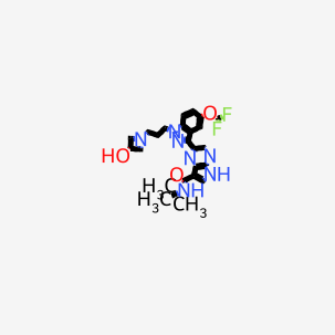 CC(C)(C)NC(=O)c1c[nH]c2ncc(-c3nn(CCCN4CC(O)C4)c4ccc(OC(F)F)cc34)nc12